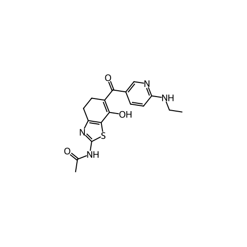 CCNc1ccc(C(=O)C2=C(O)c3sc(NC(C)=O)nc3CC2)cn1